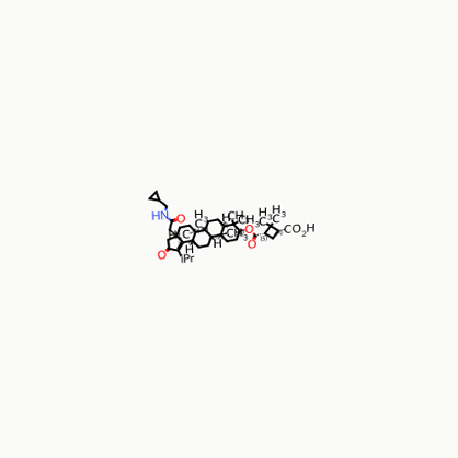 CC(C)C1=C2[C@H]3CC[C@@H]4[C@@]5(C)CC[C@H](OC(=O)[C@H]6C[C@@H](C(=O)O)C6(C)C)C(C)(C)[C@@H]5CC[C@@]4(C)[C@]3(C)CC[C@@]2(CC(=O)NCC2CC2)CC1=O